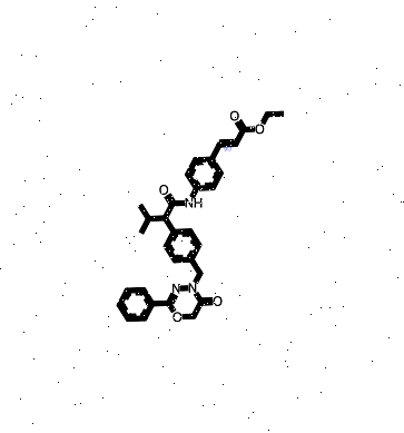 CCOC(=O)/C=C/c1ccc(NC(=O)C(c2ccc(CN3N=C(c4ccccc4)OCC3=O)cc2)C(C)C)cc1